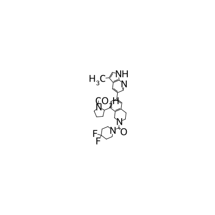 Cc1c[nH]c2ncc(-c3cc4c(c(C5CCCN5C(=O)O)c3)CN(C(=O)N3CCC(F)(F)CC3)CC4)cc12